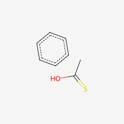 CC(O)=S.c1ccccc1